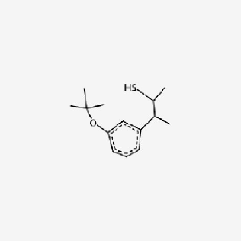 CC(S)C(C)c1cccc(OC(C)(C)C)c1